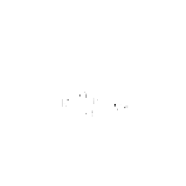 C=CC(=O)OP(=O)(OC)OC(O)CC